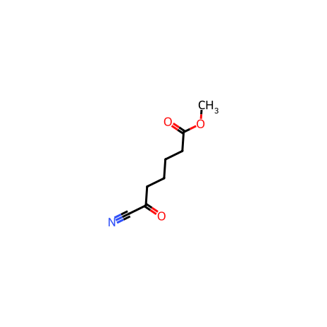 COC(=O)CCCCC(=O)C#N